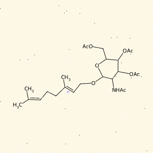 CC(=O)NC1C(OC/C=C(\C)CCC=C(C)C)OC(COC(C)=O)C(OC(C)=O)C1OC(C)=O